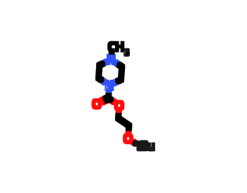 CN1CCN(C(=O)OCCOC(C)(C)C)CC1